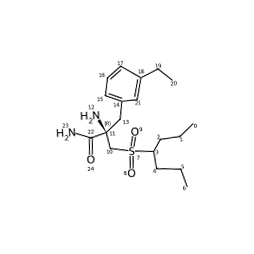 CCCC(CCC)S(=O)(=O)C[C@@](N)(Cc1cccc(CC)c1)C(N)=O